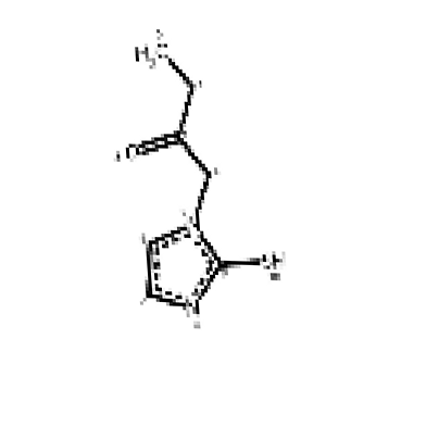 CCC(=O)Cn1ccnc1S